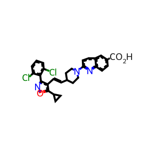 O=C(O)c1ccc2nc(N3CCC(/C=C/c4c(-c5c(Cl)cccc5Cl)noc4C4CC4)CC3)ccc2c1